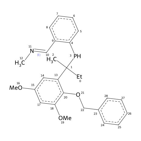 CCC(C)(Pc1ccccc1/C=N/C)c1cc(OC)cc(OC)c1OCc1ccccc1